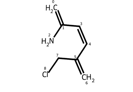 C=C(N)/C=C\C(=C)CCl